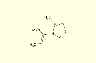 C/C=C(\NC)N1CCC[C@H]1C